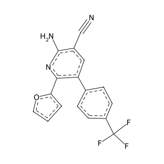 N#Cc1cc(-c2ccc(C(F)(F)F)cc2)c(-c2ccco2)nc1N